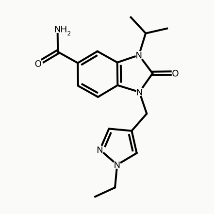 CCn1cc(Cn2c(=O)n(C(C)C)c3cc(C(N)=O)ccc32)cn1